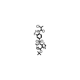 CPN(c1scnc1C(=O)OC(C)(C)C)S(=O)(=O)c1ccc(NC(=O)C(C)Cl)c(F)c1